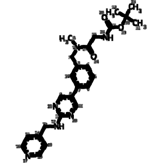 CN(Cc1cccc(-c2cnc(NCc3ccncc3)nc2)c1)C(=O)CNC(=O)OC(C)(C)C